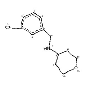 Clc1cccc(CNC2CCOCC2)c1